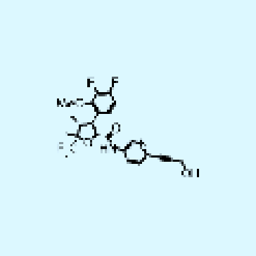 COc1c([C@H]2[C@H](C(=O)Nc3ccc(C#CCO)nc3)O[C@@](C)(C(F)(F)F)[C@H]2C)ccc(F)c1F